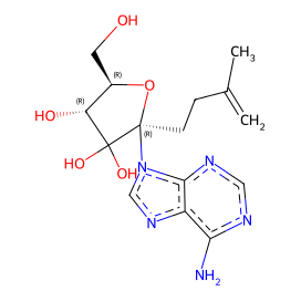 C=C(C)CC[C@@]1(n2cnc3c(N)ncnc32)O[C@H](CO)[C@@H](O)C1(O)O